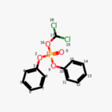 O=P(Oc1ccccc1)(Oc1ccccc1)OC(Cl)Cl